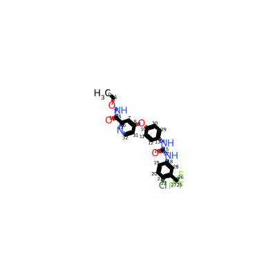 CCONC(=O)c1cc(Oc2ccc(NC(=O)Nc3ccc(Cl)c(C(F)(F)F)c3)cc2)ccn1